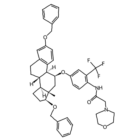 C[C@]12C[C@H](Oc3ccc(NC(=O)CN4CCOCC4)c(C(F)(F)F)c3)[C@@H]3c4ccc(OCc5ccccc5)cc4CC[C@H]3[C@@H]1CC[C@@H]2OCc1ccccc1